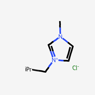 CC(C)C[n+]1ccn(C)c1.[Cl-]